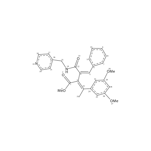 COC(=O)C(C(=Cc1ccccc1)C(=O)NCc1ccncc1)=C(C)c1cc(OC)cc(OC)c1